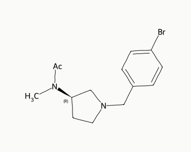 CC(=O)N(C)[C@@H]1CCN(Cc2ccc(Br)cc2)C1